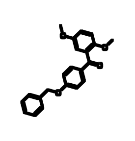 COc1ccc(OC)c(C(=O)c2ccc(OCc3ccccc3)cc2)c1